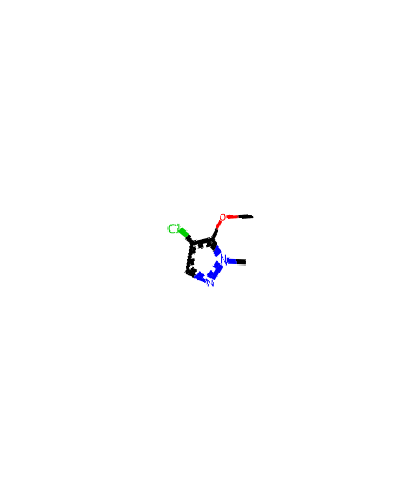 COc1c(Cl)[c]nn1C